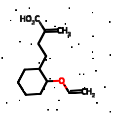 C=COC1CCCCC1CCC(=C)C(=O)O